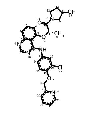 C[C@H](Oc1cccc2ncnc(Nc3ccc(OCc4ccccn4)c(Cl)c3)c12)C(=O)N1CCC(O)C1